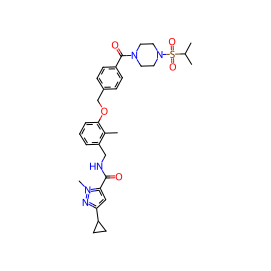 Cc1c(CNC(=O)c2cc(C3CC3)nn2C)cccc1OCc1ccc(C(=O)N2CCN(S(=O)(=O)C(C)C)CC2)cc1